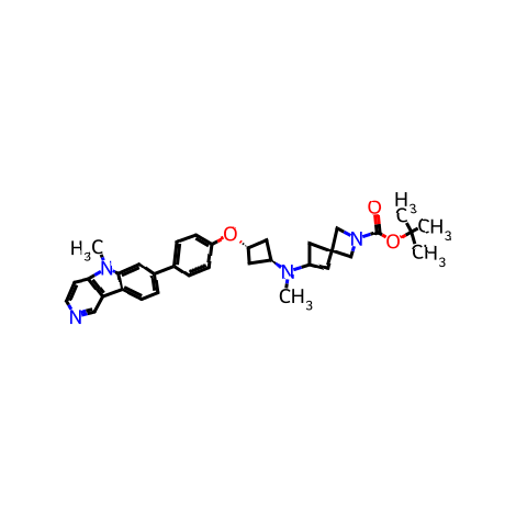 Cn1c2ccncc2c2ccc(-c3ccc(O[C@H]4C[C@H](N(C)C5CC6(C5)CN(C(=O)OC(C)(C)C)C6)C4)cc3)cc21